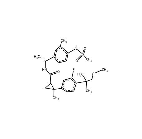 COCC(C)(C)c1ccc(C2(C)CC2C(=O)N[C@H](C)c2ccc(NS(C)(=O)=O)c(C)c2)cc1F